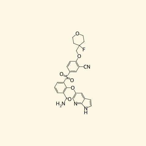 N#Cc1cc(S(=O)(=O)c2cccc(C(N)=O)c2Oc2cnc3[nH]ccc3c2)ccc1OCC1(F)CCOCC1